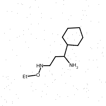 CCONCCC(N)C1CCCCC1